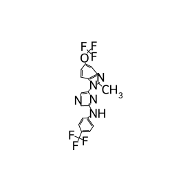 Cc1nc2cc(OC(F)(F)F)ccc2n1-c1cncc(Nc2ccc(C(F)(F)F)cc2)n1